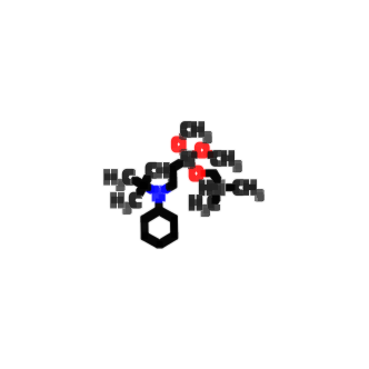 CO[Si](CCN(C1CCCCC1)C(C)(C)C)(OC)OC[SiH](C)C